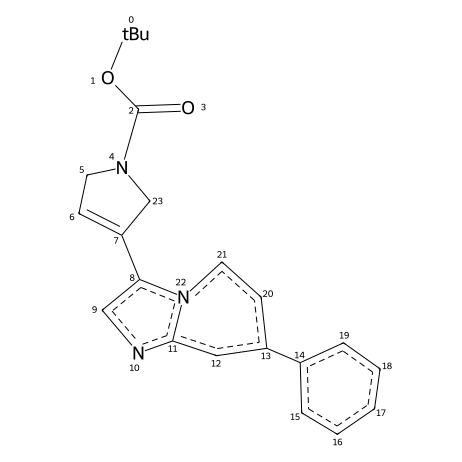 CC(C)(C)OC(=O)N1CC=C(c2cnc3cc(-c4ccccc4)ccn23)C1